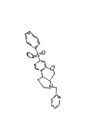 O=S(=O)(c1ccccc1)c1ccc2c(c1)OCC1C2CCN1Cc1ccccc1